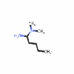 [CH2]CCCC(N)N(C)C